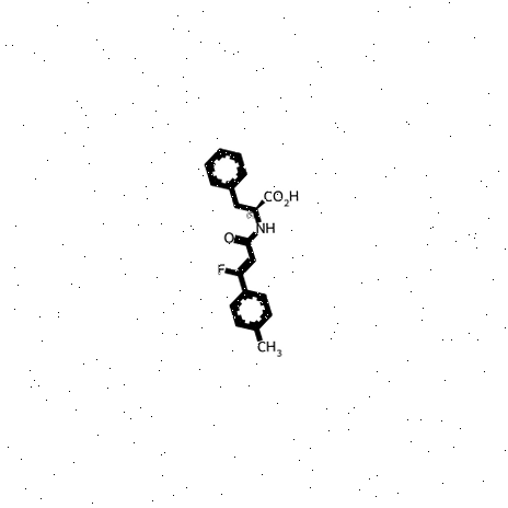 Cc1ccc(C(F)=CC(=O)N[C@@H](Cc2ccccc2)C(=O)O)cc1